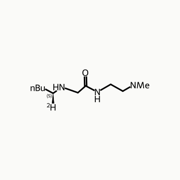 [2H][C@@H](CCCC)NCC(=O)NCCNC